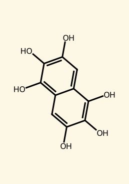 Oc1cc2c(O)c(O)c(O)cc2c(O)c1O